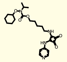 CC(C)N(OC1CCCCC1)C(=O)OCCCCCNc1c(Nc2ccncc2)c(=O)c1=O